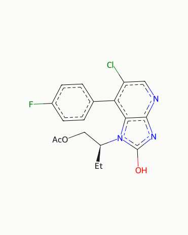 CC[C@@H](COC(C)=O)n1c(O)nc2ncc(Cl)c(-c3ccc(F)cc3)c21